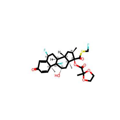 C[C@@H]1C[C@H]2[C@@H]3C[C@H](F)C4=CC(=O)C=C[C@]4(C)[C@@]3(F)[C@@H](O)C[C@]2(C)[C@@]1(OC(=O)C1(C)OCCO1)C(=O)SCF